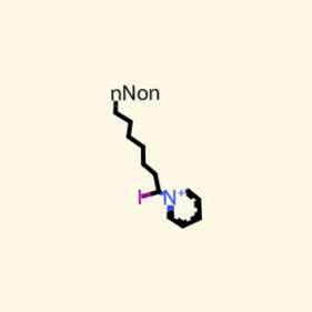 CCCCCCCCCCCCCCCC(I)[n+]1ccccc1